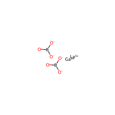 [Ga+3].[La+3].[O-]B([O-])[O-].[O-]B([O-])[O-]